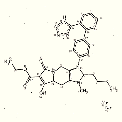 CCCCC1N(C)C2=C(CN3C(=O)C(C(=O)OCC)=C(O)C3C2)N1c1ccc(-c2ccccc2-c2nnn[nH]2)cc1.[Na].[Na]